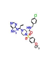 C=C/C(=N\c1ncncc1N)N1CCN(S(=O)(=O)c2ccc(OC(F)(F)F)cc2)[C@@H](C(=O)NCc2ccc(Cl)cc2)C1